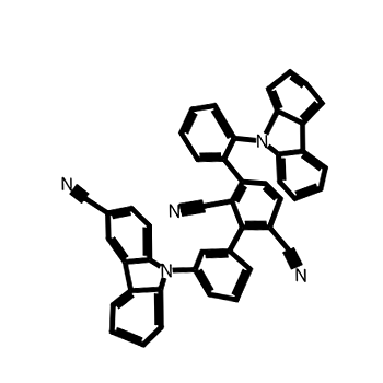 N#Cc1ccc2c(c1)c1ccccc1n2-c1cccc(-c2c(C#N)ccc(-c3ccccc3-n3c4ccccc4c4ccccc43)c2C#N)c1